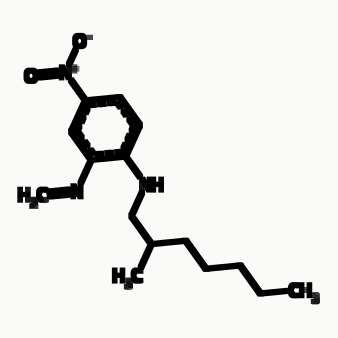 C=Nc1cc([N+](=O)[O-])ccc1NCC(C)CCCCC